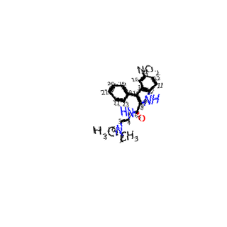 CN(C)CCNC(=O)c1[nH]c2ccc([N+](=O)[O-])cc2c1-c1ccccc1